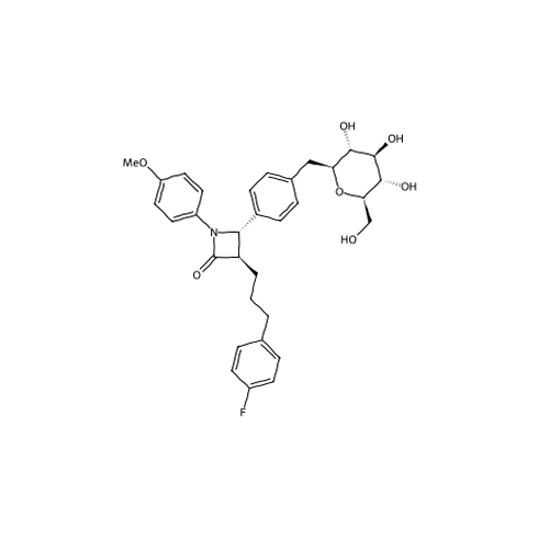 COc1ccc(N2C(=O)[C@H](CCCc3ccc(F)cc3)[C@H]2c2ccc(C[C@@H]3O[C@H](CO)[C@@H](O)[C@H](O)[C@H]3O)cc2)cc1